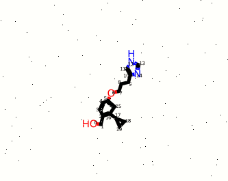 OCc1ccc(OCCCc2c[nH]cn2)cc1C1CC1